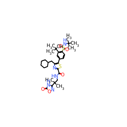 CC(C)(C)NS(=O)(=O)c1ccc(-c2sc(C(=O)NCC(C)(C)c3noc(=O)[nH]3)nc2CC2CCCCC2)cc1C(C)(C)C